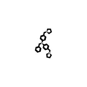 c1ccc(CN(c2ccc(CN3CCCC3)cc2)c2ccc(CN3CCCC3)cc2)cc1